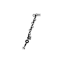 N#CC#Cc1ccc(-n2cc(COCCOCCOCCOCCOCCC(=O)O)nn2)cc1